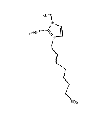 CCCCCCCCCCCCCCCCC[n+]1ccn(CCCCCCCCCC)c1CCCCCCC